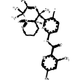 Cc1cc(C#N)cnc1C(=O)Nc1ccc(F)c([C@@]2(C)N=C(N)C(C)(C)[S@@]3(=O)=NCCC[C@H]23)n1